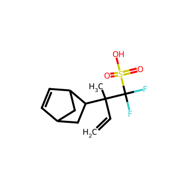 C=CC(C)(C1CC2C=CC1C2)C(F)(F)S(=O)(=O)O